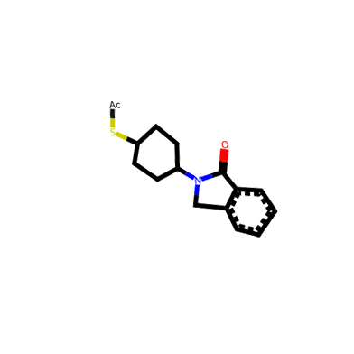 CC(=O)SC1CCC(N2Cc3ccccc3C2=O)CC1